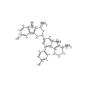 NC1CC(c2cc(-c3ccc(F)cc3)c3c4c([nH]c3c2)C(N)CCC4)Cc2c1[nH]c1ccc(F)cc21